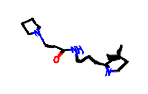 Cc1ccnc(CCCNC(=O)C=CN2CCCC2)c1